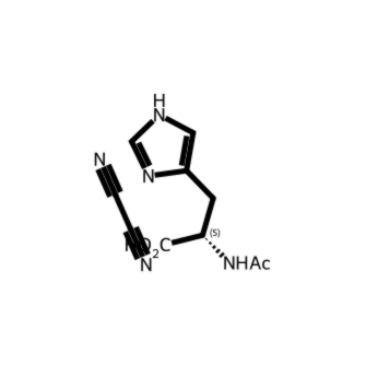 CC(=O)N[C@@H](Cc1c[nH]cn1)C(=O)O.N#CC#N